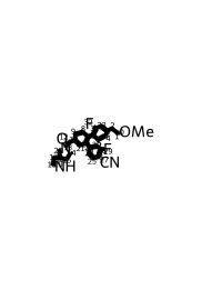 COCCc1ccc(-c2ccc(C(=O)N3CCC4(CCN4)C3)cc2-c2ccc(C#N)c(F)c2)c(F)c1